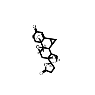 CC12C[C@H]3O[C@@]34C(C3CC3C3=CC(=O)CCC34C)C1CC[C@@]21CCC(=O)O1